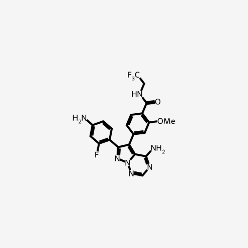 COc1cc(-c2c(-c3ccc(N)cc3F)nn3ncnc(N)c23)ccc1C(=O)NCC(F)(F)F